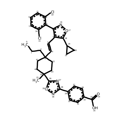 CCCC1(/C=C/c2c(-c3c(Cl)cccc3Cl)noc2C2CC2)CCC(C)(c2nc(-c3ccc(C(=O)O)cc3)no2)CC1